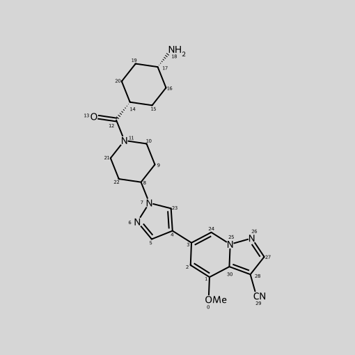 COc1cc(-c2cnn(C3CCN(C(=O)[C@H]4CC[C@@H](N)CC4)CC3)c2)cn2ncc(C#N)c12